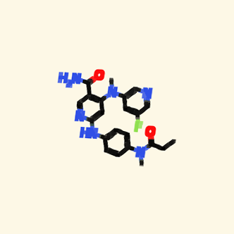 CCC(=O)N(C)c1ccc(Nc2cc(N(C)c3cncc(F)c3)c(C(N)=O)cn2)cc1